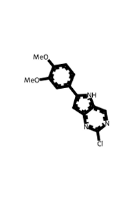 COc1ccc(-c2cc3nc(Cl)ncc3[nH]2)cc1OC